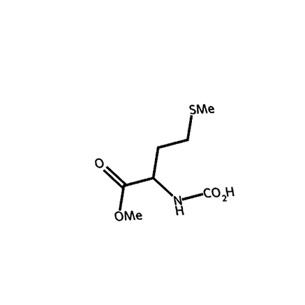 COC(=O)C(CCSC)NC(=O)O